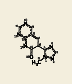 Cn1ncnc1C1C=c2cncnc2=NC1=O